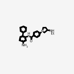 CCNC1CCN(c2ccc(C(=O)Nc3cc(N)ccc3-c3ccccc3)cc2)C1